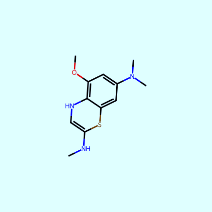 CNC1=CNc2c(OC)cc(N(C)C)cc2S1